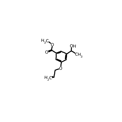 C=CCOc1cc(C(=O)OC)cc(C(C)O)c1